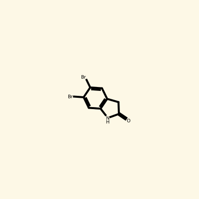 O=C1Cc2cc(Br)c(Br)cc2N1